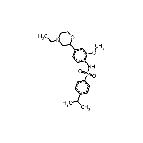 CCN1CCOC(c2ccc(NS(=O)(=O)c3ccc(C(C)C)cc3)c(OC)c2)C1